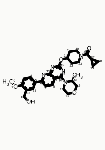 COc1ccc(-c2ccc3c(N4CCOC[C@@H]4C)nc(OC4CCN(C(=O)C5CC5)CC4)nc3n2)cc1CO